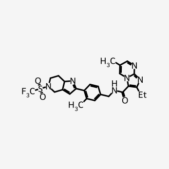 CCc1nc2ncc(C)cn2c1C(=O)NCc1ccc(C2=NC3CCN(S(=O)(=O)C(F)(F)F)CC3=C2)c(C)c1